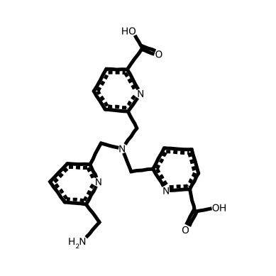 NCc1cccc(CN(Cc2cccc(C(=O)O)n2)Cc2cccc(C(=O)O)n2)n1